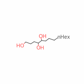 CCCCCCCCCC(O)C(O)CCCO